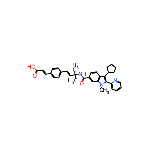 Cn1c(-c2ccccn2)c(C2CCCC2)c2ccc(C(=O)NC(C)(C)/C=C/c3ccc(/C=C/C(=O)O)cc3)cc21